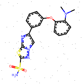 CN(C)c1ccccc1Oc1cccc(-c2cn3nc(S(N)(=O)=O)sc3n2)c1